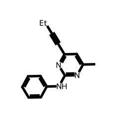 CCC#Cc1cc(C)nc(Nc2ccccc2)n1